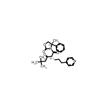 CC(C)(C)CC(=O)[C@@H](CCCc1ccncc1)C(=O)N1C(=O)OC[C@]1(C)c1ccccc1